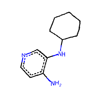 Nc1ccncc1NC1CCCCC1